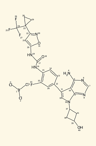 ClB(Cl)Cl.Nc1ncnc2c1c(-c1ccc(NC(=O)Nc3cc(C4(C(F)(F)F)CC4)no3)c(F)c1)cn2C1CC(O)C1